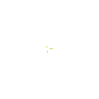 S[SH](S)S